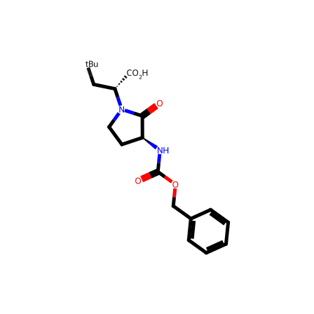 CC(C)(C)C[C@H](C(=O)O)N1CC[C@H](NC(=O)OCc2ccccc2)C1=O